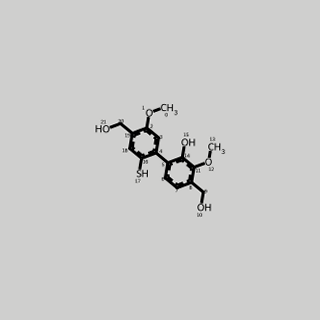 COc1cc(-c2ccc(CO)c(OC)c2O)c(S)cc1CO